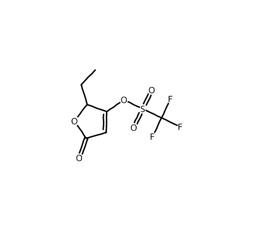 CCC1OC(=O)C=C1OS(=O)(=O)C(F)(F)F